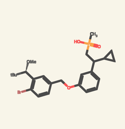 CO[C@H](c1cc(COc2cccc(C(CP(C)(=O)O)C3CC3)c2)ccc1Br)C(C)(C)C